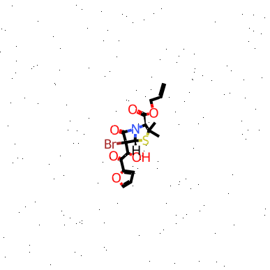 C=CCOC(=O)[C@@H]1N2C(=O)C(Br)(C(O)C(=O)c3ccco3)[C@H]2SC1(C)C